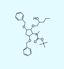 CCCC(O)COC1C(OCc2ccccc2)CC(OCc2ccccc2)C1N(C)C(=O)OC(C)(C)C